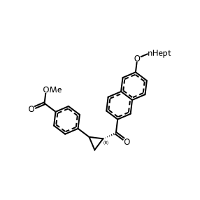 CCCCCCCOc1ccc2cc(C(=O)[C@@H]3CC3c3ccc(C(=O)OC)cc3)ccc2c1